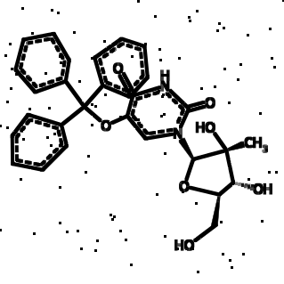 C[C@@]1(O)[C@H](O)[C@@H](CO)O[C@H]1n1cc(OC(c2ccccc2)(c2ccccc2)c2ccccc2)c(=O)[nH]c1=O